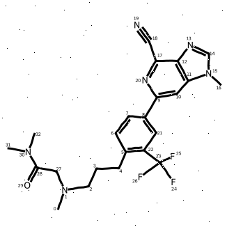 CN(CCCc1ccc(-c2cc3c(ncn3C)c(C#N)n2)cc1C(F)(F)F)CC(=O)N(C)C